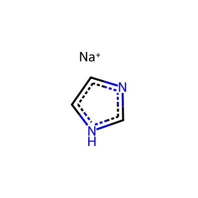 [Na+].c1c[nH]cn1